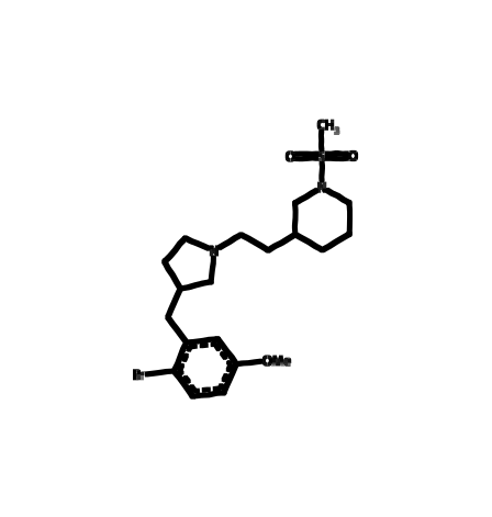 COc1ccc(Br)c(CC2CCN(CCC3CCCN(S(C)(=O)=O)C3)C2)c1